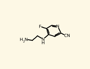 N#Cc1cc(NCCN)c(F)cn1